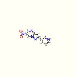 O=[N+]([O-])c1cnc2cc(-c3cccnc3)nn2c1